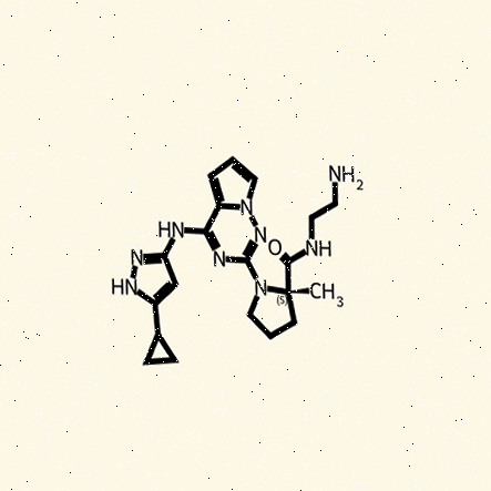 C[C@@]1(C(=O)NCCN)CCCN1c1nc(Nc2cc(C3CC3)[nH]n2)c2cccn2n1